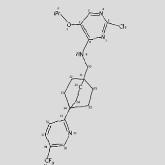 CC(C)Oc1cnc(Cl)nc1NCC12CCC(c3ccc(C(F)(F)F)cn3)(CC1)CC2